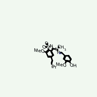 COc1cc(/C=N/N(C)C2=NS(=O)(=O)c3c(OC)cc(CCC(C)C)cc32)ccc1O